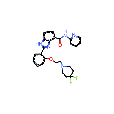 O=C(Nc1ccccn1)c1cccc2[nH]c(-c3ccccc3OCCN3CCC(F)(F)CC3)nc12